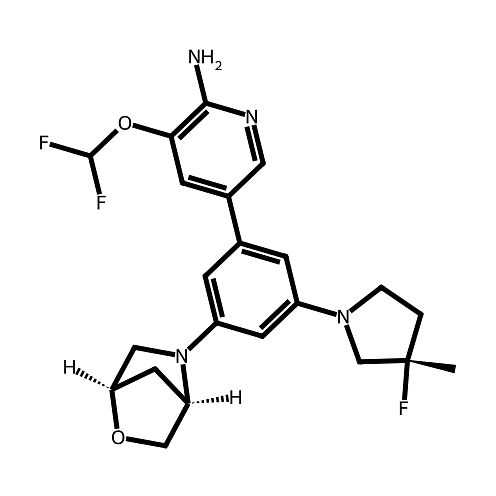 C[C@]1(F)CCN(c2cc(-c3cnc(N)c(OC(F)F)c3)cc(N3C[C@H]4C[C@@H]3CO4)c2)C1